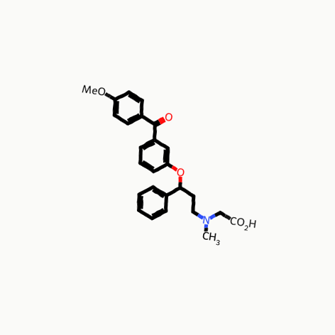 COc1ccc(C(=O)c2cccc(OC(CCN(C)CC(=O)O)c3ccccc3)c2)cc1